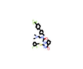 CCN(CC)CCN(Cc1ccc(-c2ccc(C(F)(F)F)cc2)cc1)C(=O)Cn1c(SCc2cccc(F)c2F)nc(=O)c2c1CCC2